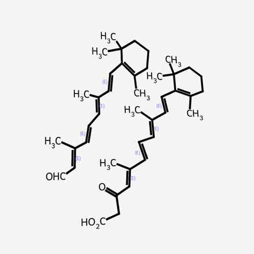 CC1=C(/C=C/C(C)=C/C=C/C(C)=C/C(=O)CC(=O)O)C(C)(C)CCC1.CC1=C(/C=C/C(C)=C/C=C/C(C)=C/C=O)C(C)(C)CCC1